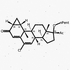 CCCCCO[C@]1(C(C)=O)CC[C@H]2[C@@H]3C=C(Cl)C4=CC(=O)[C@@H]5C[C@@H]5[C@]4(C)[C@H]3CC[C@@]21C